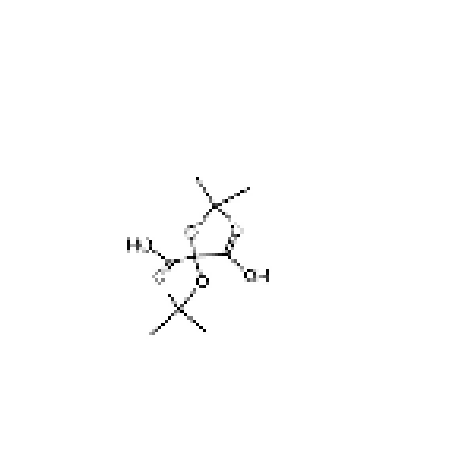 CC(C)(C)OC(OC(C)(C)C)(C(=O)O)C(=O)O